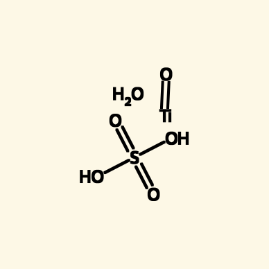 O.O=S(=O)(O)O.[O]=[Ti]